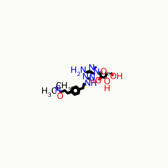 CN(C)C(=O)CCc1ccc(CCNc2nc(N)c3ncn([C@@H]4O[C@H](CO)C(O)C4O)c3n2)cc1